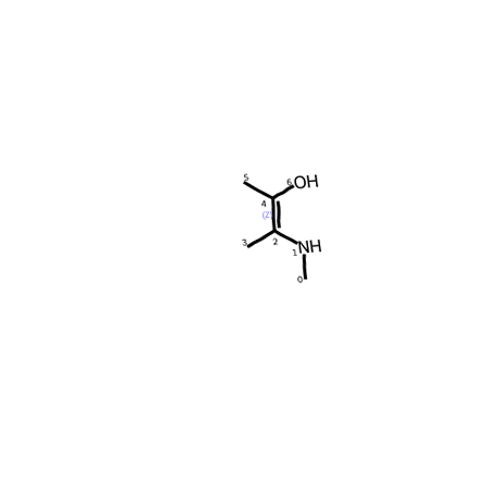 CN/C(C)=C(/C)O